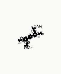 C=C(C)C(=O)Oc1ccc(-c2ccc(-c3ccc(OC(=O)C(=C)C)c(OC(=O)C(=C)COC)c3)cc2)cc1OC(=O)C(=C)COC